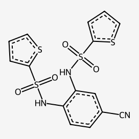 N#Cc1ccc(NS(=O)(=O)c2cccs2)c(NS(=O)(=O)c2cccs2)c1